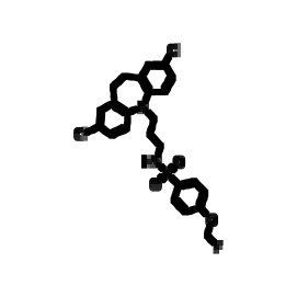 O=S(=O)(NCCCN1c2ccc(Cl)cc2CCc2cc(Cl)ccc21)c1ccc(OCF)cc1